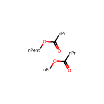 CCCCCOC(=O)CCC.CCCOC(=O)CCC